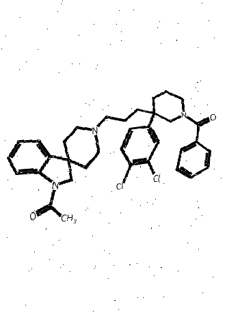 CC(=O)N1CC2(CCN(CCCC3(c4ccc(Cl)c(Cl)c4)CCCN(C(=O)c4ccccc4)C3)CC2)c2ccccc21